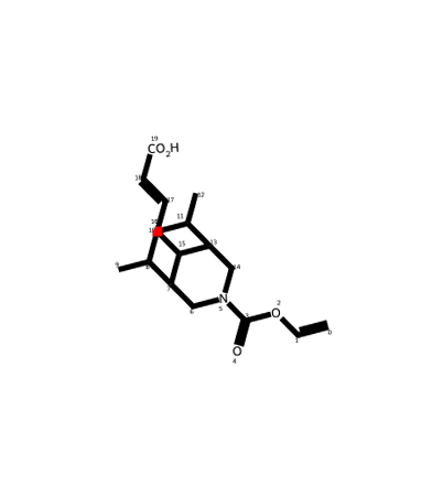 C=COC(=O)N1CC2C(C)CC(C)C(C1)C2CC=CC(=O)O